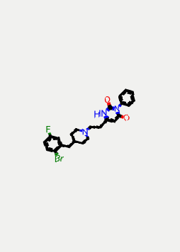 O=c1cc(CCN2CCC(Cc3cc(F)ccc3Br)CC2)[nH]c(=O)n1-c1ccccc1